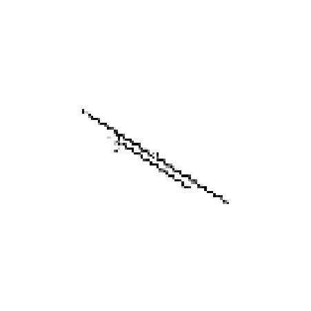 CCCCCCCCC=CCCCCCCCCOCCCCCCCCC=CCCCCCCCC.CCCCCCCCCCCCCCCCCC(=O)O